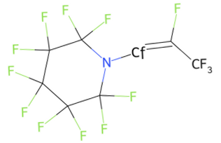 F/[C](=[Cf]\[N]1C(F)(F)C(F)(F)C(F)(F)C(F)(F)C1(F)F)C(F)(F)F